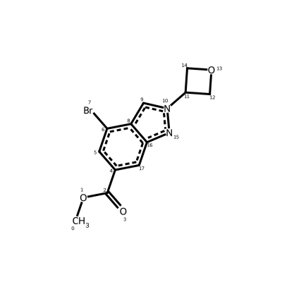 COC(=O)c1cc(Br)c2cn(C3COC3)nc2c1